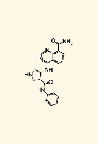 NC(=O)c1cccc2c(N[C@H]3CNCC3C(=O)Nc3ccccc3)ncnc12